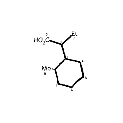 CCC(C(=O)O)C1CCCCC1.[Mo]